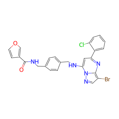 O=C(NCc1ccc(CNc2cc(-c3ccccc3Cl)nc3c(Br)cnn23)cc1)c1ccoc1